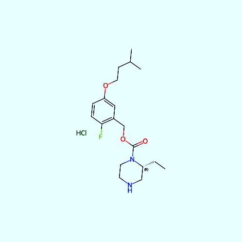 CC[C@@H]1CNCCN1C(=O)OCc1cc(OCCC(C)C)ccc1F.Cl